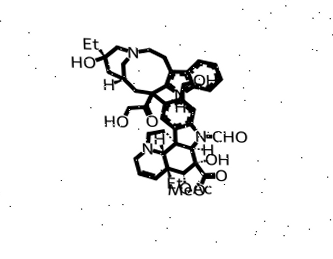 CC[C@]1(O)C[C@@H]2CN(CCc3c([nH]c4ccccc34)C(C(=O)CO)(c3cc4c(cc3CO)N(C=O)[C@H]3[C@@](O)(C(=O)OC)[C@H](OC(C)=O)[C@]5(CC)C=CCN6CC[C@]43[C@@H]65)C2)C1